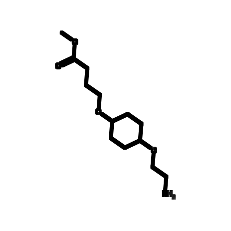 COC(=O)CCCOC1CCC(OCCN)CC1